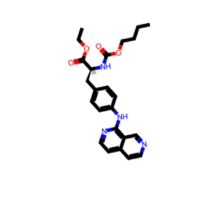 CCCCOC(=O)N[C@@H](Cc1ccc(Nc2nccc3ccncc23)cc1)C(=O)OCC